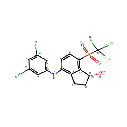 O=S(=O)(c1ccc(Nc2cc(F)cc(F)c2)c2c1[C@H](O)CC2)C(F)(F)F